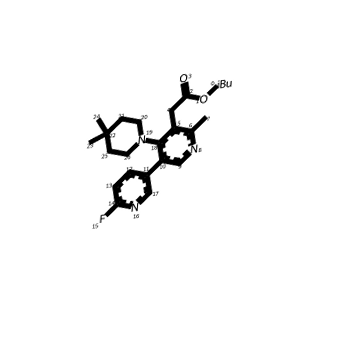 CCC(C)OC(=O)Cc1c(C)ncc(-c2ccc(F)nc2)c1N1CCC(C)(C)CC1